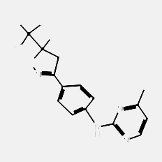 Cc1ccnc(Nc2ccc(C3=NOC(O)(C(F)(F)Cl)C3)cc2)n1